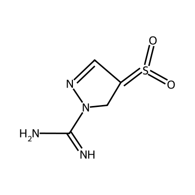 N=C(N)N1CC(=S(=O)=O)C=N1